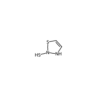 SN1NC=CS1